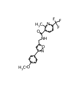 COc1ccc(-c2cc(CNC(=O)c3ccc(C(F)(F)F)nc3C)on2)cc1